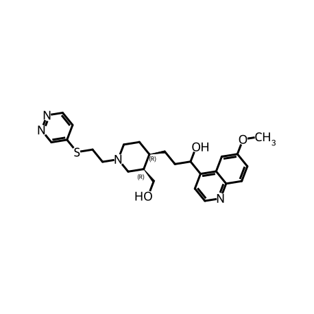 COc1ccc2nccc(C(O)CC[C@@H]3CCN(CCSc4ccnnc4)C[C@@H]3CO)c2c1